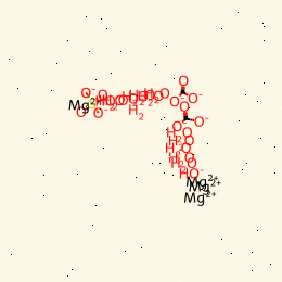 O.O.O.O.O.O.O.O.O.O.O.O.O=C([O-])[O-].O=C([O-])[O-].O=S(=O)([O-])[O-].[Mg+2].[Mg+2].[Mg+2].[Mg+2].[OH-].[OH-]